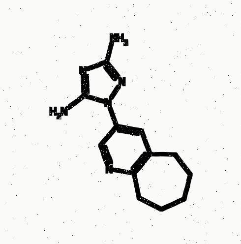 Nc1nc(N)n(-c2cnc3c(c2)CCCCC3)n1